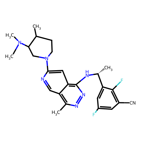 Cc1nnc(N[C@H](C)c2cc(F)cc(C#N)c2F)c2cc(N3CCC(C)C(N(C)C)C3)ncc12